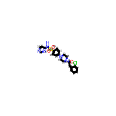 O=C(Cc1ccccc1Cl)N1CCN(c2ccc(S(=O)(=O)Nc3ccncn3)cc2)CC1